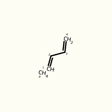 C.[CH]=CC=C